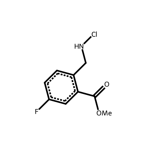 COC(=O)c1cc(F)ccc1CNCl